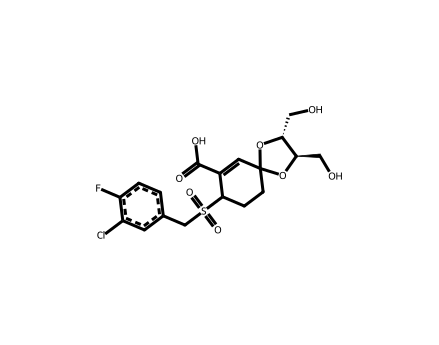 O=C(O)C1=CC2(CCC1S(=O)(=O)Cc1ccc(F)c(Cl)c1)O[C@H](CO)[C@@H](CO)O2